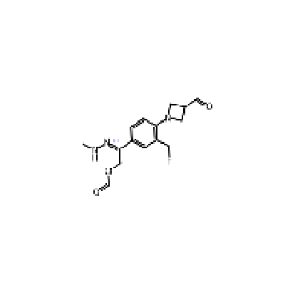 CN/N=C(\COC=O)c1ccc(N2CC(C=O)C2)c(CF)c1